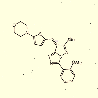 COc1ccccc1-c1nnc2/c(=C\c3ccc(N4CCOCC4)s3)c(C(C)(C)C)nn12